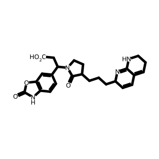 O=C(O)CC(c1ccc2[nH]c(=O)oc2c1)N1CCC(CCCC2C=CC3=CCCNC3=N2)C1=O